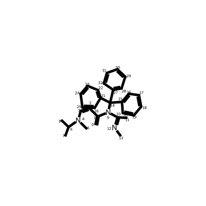 C=C(/C=C\N(C)C(C)C)N(/C(C)=N/C)C(c1ccccc1)(c1ccccc1)c1ccccc1